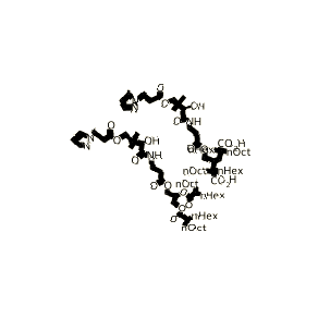 CCCCCCCCC(CCCCCC)(CC(COC(=O)CCNC(=O)[C@H](O)C(C)(C)COC(=O)CCn1cccn1)C(CCCCCC)(CCCCCCCC)C(=O)O)C(=O)O.CCCCCCCCC(CCCCCC)C(=O)OCC(COC(=O)CCNC(=O)[C@H](O)C(C)(C)COC(=O)CCn1cccn1)OC(=O)C(CCCCCC)CCCCCCCC